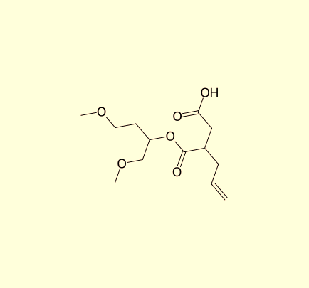 C=CCC(CC(=O)O)C(=O)OC(CCOC)COC